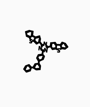 c1ccc(-c2cccc(-c3ccc(-c4nc(-c5ccc6c(c5)sc5ccccc56)nc(-c5ccc6c(c5)sc5ccccc56)n4)cc3)c2)cc1